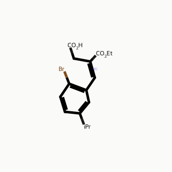 CCOC(=O)/C(=C/c1cc(C(C)C)ccc1Br)CC(=O)O